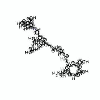 Cc1cc(-c2ccc(NC(=O)[C@@H](CCCCNC(=O)CCN3C(=O)CC(SCC(=O)NCCCCC4NC(=O)[C@H](Cc5ccc(O)cc5)NC(=O)[C@H](CC(=O)O)NC(=O)C(C)NC(=O)[C@H](CCCNC(=N)N)NC4=O)C3=O)NC(=O)CN3CCN(CC(=O)O)CCN(CC(=O)O)CC3)c(C)c2)ccc1/N=N/c1ccc2c(S(=O)(=O)O)cc(S(=O)(=O)O)c(N)c2c1O